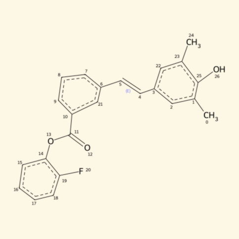 Cc1cc(/C=C/c2cccc(C(=O)Oc3ccccc3F)c2)cc(C)c1O